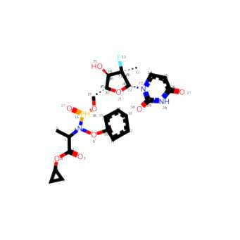 CC(C(=O)OC1CC1)N(Oc1ccccc1)[PH](=O)OC[C@H]1O[C@@H](n2ccc(=O)[nH]c2=O)[C@](C)(F)[C@@H]1O